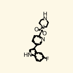 O=S(=O)(c1ccc(-c2c[nH]c3ccc(F)cc23)cn1)N1CCNCC1